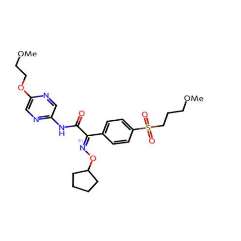 COCCCS(=O)(=O)c1ccc(/C(=N\OC2CCCC2)C(=O)Nc2cnc(OCCOC)cn2)cc1